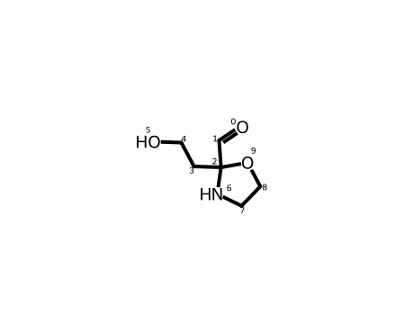 O=CC1(CCO)NCCO1